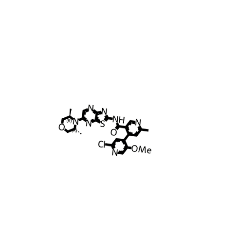 COc1cnc(Cl)cc1-c1cc(C)ncc1C(=O)Nc1nc2ncc(N3[C@H](C)COC[C@H]3C)nc2s1